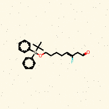 CC(C)(C)[Si](OCCCCC=C(F)CC=O)(c1ccccc1)c1ccccc1